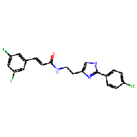 O=C(C=Cc1cc(F)cc(F)c1)NCCc1c[nH]c(-c2ccc(Cl)cc2)n1